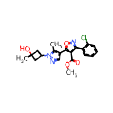 COC(=O)c1c(-c2ccccc2Cl)noc1-c1cnn(C2CC(C)(O)C2)c1C